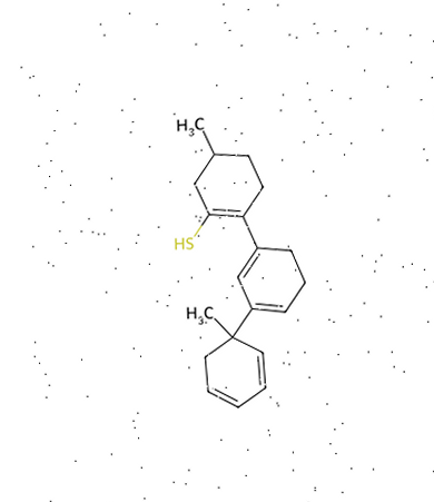 CC1CCC(C2=CC(C3(C)C=CC=CC3)=CCC2)=C(S)C1